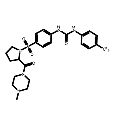 CN1CCN(C(=O)C2CCCN2S(=O)(=O)c2ccc(NC(=O)Nc3ccc(C(F)(F)F)cc3)cc2)CC1